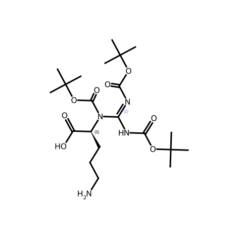 CC(C)(C)OC(=O)/N=C(/NC(=O)OC(C)(C)C)N(C(=O)OC(C)(C)C)[C@@H](CCCN)C(=O)O